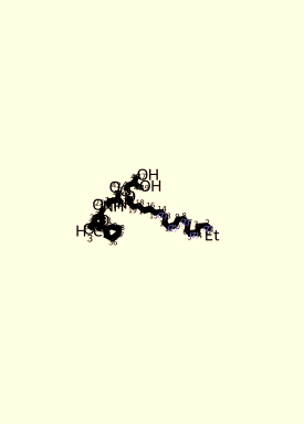 CC/C=C\C/C=C\C/C=C\C/C=C\C/C=C\CC=CCCC(=O)NC(CNC(=O)C1=CC(=O)C(C)(c2ccccc2)O1)C(=O)OCC(CO)CO